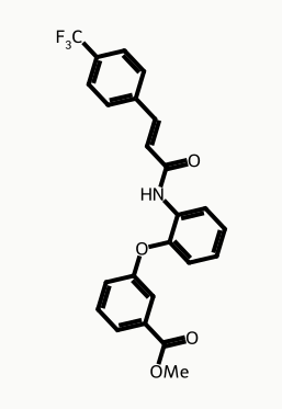 COC(=O)c1cccc(Oc2ccccc2NC(=O)C=Cc2ccc(C(F)(F)F)cc2)c1